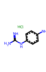 Cl.N=C(N)Nc1ccc(N)cc1